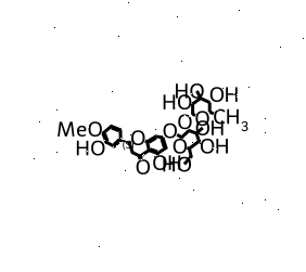 COc1ccc([C@@H]2CC(=O)c3c(O)cc(OC4OC(CO)C(O)C(O)C4OC4OC(C)C(O)C(O)C4O)cc3O2)cc1O